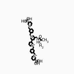 C=C(C)C(=O)NCc1cc(-c2ccc[n+](Cc3cccc(C[n+]4cccc(B(O)O)c4)c3)c2)c[n+](Cc2cccc(C[n+]3cccc(B(O)O)c3)c2)c1